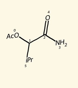 CC(=O)OC(C(N)=O)C(C)C